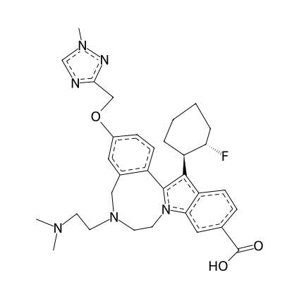 CN(C)CCN1CCn2c(c([C@H]3CCCC[C@@H]3F)c3ccc(C(=O)O)cc32)-c2ccc(OCc3ncn(C)n3)cc2C1